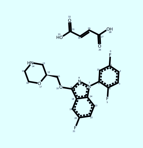 Fc1ccc(F)c(-n2nc(OC[C@@H]3CNCCO3)c3cc(F)ccc32)c1.O=C(O)C=CC(=O)O